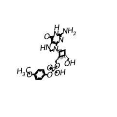 COc1ccc(OP(=O)(O)OC[C@@H]2[C@@H](CO)C[C@H]2N2CNc3c2nc(N)[nH]c3=O)cc1